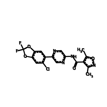 Cc1noc(C)c1C(=O)Nc1cnc(-c2cc3c(cc2Cl)OC(F)(F)O3)cn1